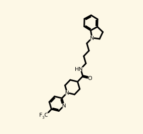 O=C(NCCCCN1CCc2ccccc21)C1CCN(c2ccc(C(F)(F)F)cn2)CC1